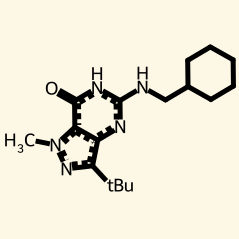 Cn1nc(C(C)(C)C)c2nc(NCC3CCCCC3)[nH]c(=O)c21